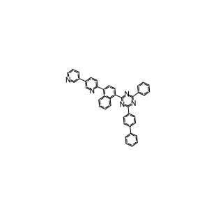 c1ccc(-c2ccc(-c3nc(-c4ccccc4)nc(-c4ccc(-c5ccc(-c6cccnc6)cn5)c5ccccc45)n3)cc2)cc1